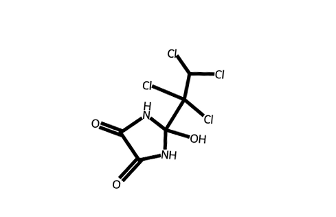 O=C1NC(O)(C(Cl)(Cl)C(Cl)Cl)NC1=O